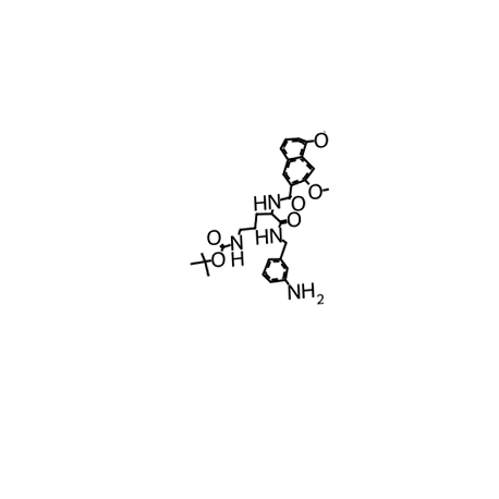 COc1cc2c(OC)cccc2cc1C(=O)NC(CCCNC(=O)OC(C)(C)C)C(=O)NCc1cccc(N)c1